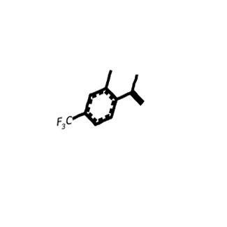 C=C(C)c1ccc(C(F)(F)F)cc1C